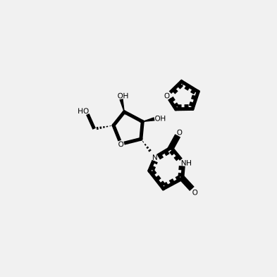 O=c1ccn([C@@H]2O[C@H](CO)[C@@H](O)[C@H]2O)c(=O)[nH]1.c1ccoc1